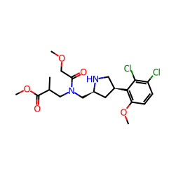 COCC(=O)N(CC(C)C(=O)OC)C[C@@H]1C[C@H](c2c(OC)ccc(Cl)c2Cl)CN1